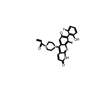 C=CC(=O)N1CCN(c2c3ccc(=O)[nH]c3nc3c(F)c(-c4c(O)cccc4F)c(Cl)cc23)CC1